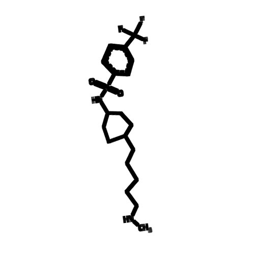 CNCCCCCC1CCC(NS(=O)(=O)c2ccc(C(F)(F)F)cc2)CC1